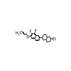 CC=CCOc1cc2ccc(C3CCC4CC(CC)CCC4C3)cc2c(F)c1F